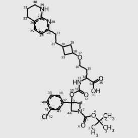 CC(C)(C)OC(=O)N1CC(OC(=O)NC(CCOC2CC(CCc3ccc4c(n3)NCCC4)C2)C(=O)O)(c2cccc(Cl)c2)C1